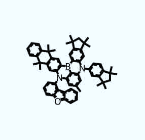 Cc1cc2c3c(c1)N(c1cccc4oc5ccccc5c14)c1cc4c(cc1B3c1cc3c(cc1N2c1ccc2c(c1)C(C)(C)CC2(C)C)C(C)(C)CC3(C)C)C(C)(C)c1ccccc1C4(C)C